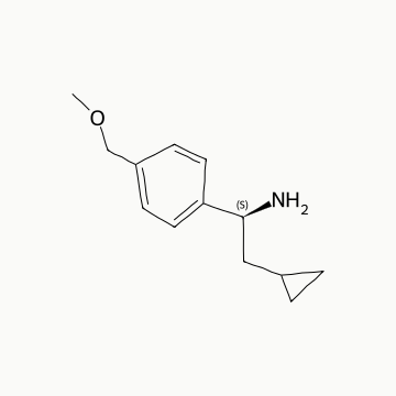 COCc1ccc([C@@H](N)CC2CC2)cc1